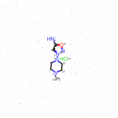 CC(C)N1CCN([n+]2cc([NH-])on2)CC1.Cl